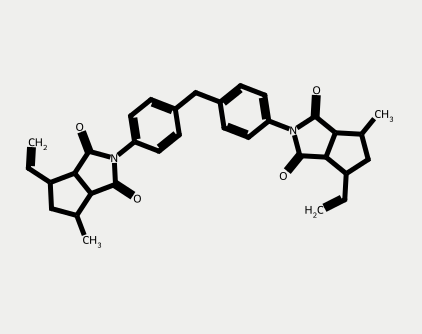 C=CC1CC(C)C2C(=O)N(c3ccc(Cc4ccc(N5C(=O)C6C(C)CC(C=C)C6C5=O)cc4)cc3)C(=O)C12